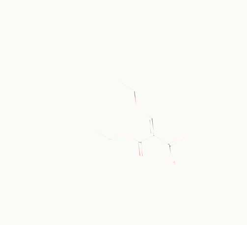 CCO/C=C(/C(=O)O)C(=O)OCC